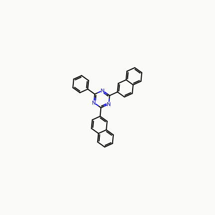 c1ccc(-c2nc(-c3ccc4ccccc4c3)nc(-c3ccc4ccccc4c3)n2)cc1